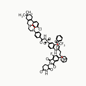 CC1(C)CCC(c2ccc(Cl)cc2)=C(CN2CCN(c3ccc(C(=O)NS(=O)(=O)c4ccc(NC(CCN5CC6CC(C5)N6Cc5cc(F)c6c(c5)C(=O)N(C5CCC(=O)NC5=O)C6=O)CSc5ccccc5)c(S(=O)(=O)C(F)(F)F)c4)cc3)CC2)C1